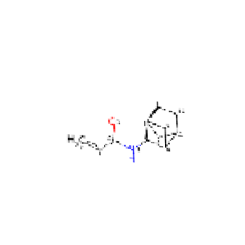 C=CC(=O)NC1C2C[C@@]13CCC2C3